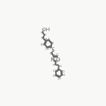 OCCCc1ccc(SCc2coc(/C=C/c3ccccc3)n2)cc1